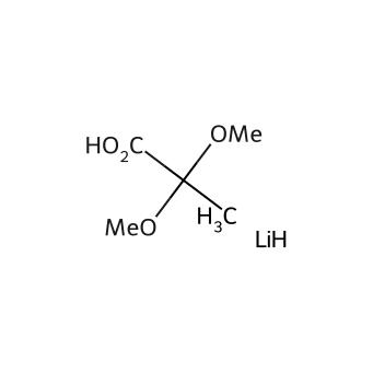 COC(C)(OC)C(=O)O.[LiH]